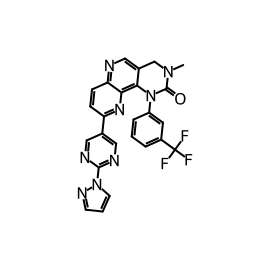 CN1Cc2cnc3ccc(-c4cnc(-n5cccn5)nc4)nc3c2N(c2cccc(C(F)(F)F)c2)C1=O